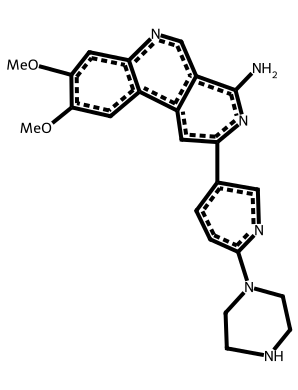 COc1cc2ncc3c(N)nc(-c4ccc(N5CCNCC5)nc4)cc3c2cc1OC